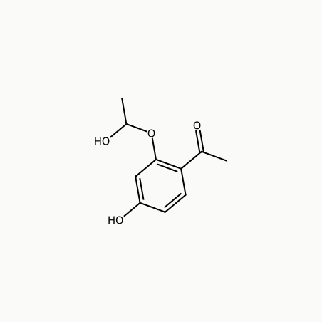 CC(=O)c1ccc(O)cc1OC(C)O